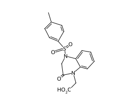 Cc1ccc(S(=O)(=O)N2CC(=O)N(CC(=O)O)c3ccccc32)cc1